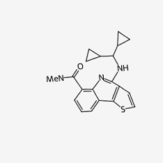 CNC(=O)c1cccc2c1nc(NC(C1CC1)C1CC1)c1ccsc12